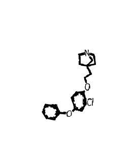 Cl.c1ccc(Oc2ccc(OCCC34CCN(CC3)C4)cc2)cc1